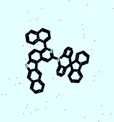 c1ccc2c(c1)-c1ccccc1C21c2ccccc2N(c2cc3c(ccc4sc5cc6ccccc6cc5c43)c(-c3cccc4ccccc34)n2)c2ccccc21